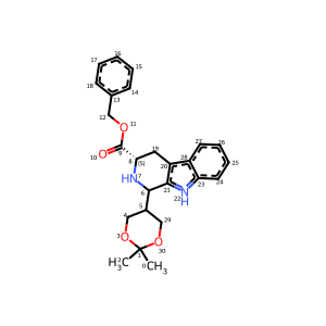 CC1(C)OCC(C2N[C@H](C(=O)OCc3ccccc3)Cc3c2[nH]c2ccccc32)CO1